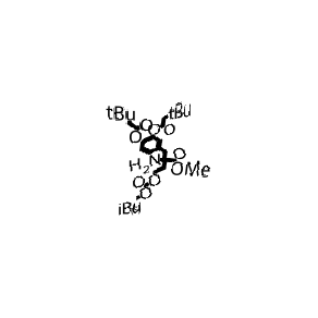 CC[C@H](C)COC(=O)OCCC(N)(Cc1ccc(OC(=O)CC(C)(C)C)c(OC(=O)CC(C)(C)C)c1)C(=O)OC